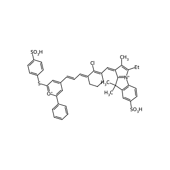 CCC1=C(C)/C(=C/C2=C(Cl)C(=C/C=C/c3cc(Sc4ccc(S(=O)(=O)O)cc4)[o+]c(-c4ccccc4)c3)/CCC2)C2=[N+]1c1ccc(S(=O)(=O)O)cc1C2(C)C